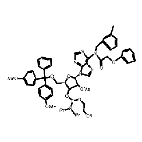 COc1ccc(C(OC[C@H]2O[C@@H](n3cnc4c(N(Cc5cccc(C)c5)C(=O)COc5ccccc5)ncnc43)C(OC)C2OP(OCCC#N)N(C(C)C)C(C)C)(c2ccccc2)c2ccc(OC)cc2)cc1